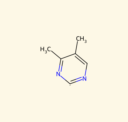 Cc1cn[c]nc1C